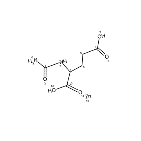 NC(=O)NC(CCC(=O)O)C(=O)O.[Zn]